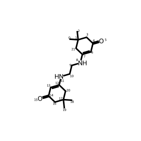 CC1(C)CC(=O)C=C(NCCNC2=CC(=O)CC(C)(C)C2)C1